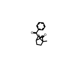 CC12CCC(C(C(=O)c3ccccc3)C1=O)C2(C)C